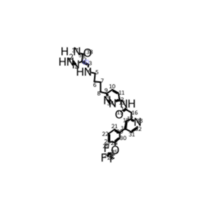 N=N/C(=C\NCCCCc1ccc(NC(=O)Cc2cc(-c3cccc(OC(F)(F)F)c3)ccn2)nn1)C(N)=O